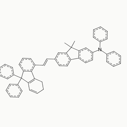 CC1(C)c2cc(/C=C/c3cccc4c3C3=C(C=CCC3)C4(c3ccccc3)c3ccccc3)ccc2-c2ccc(N(c3ccccc3)c3ccccc3)cc21